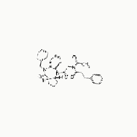 CC(=O)N(CC(=O)N1c2ccccc2N(Cc2ccccc2)C(=O)[C@H]2CCC[C@H]21)C(=O)CCc1ccccc1